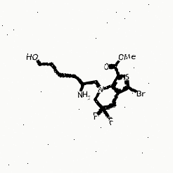 COC(=O)c1sc(Br)c2c1N(CC(N)CCCCO)CC(F)(F)C2